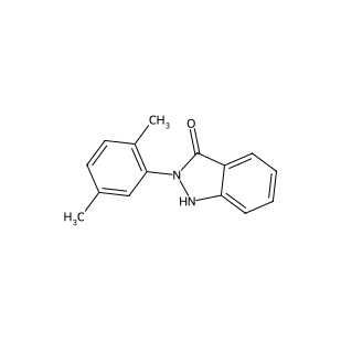 Cc1ccc(C)c(-n2[nH]c3ccccc3c2=O)c1